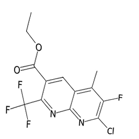 CCOC(=O)c1cc2c(C)c(F)c(Cl)nc2nc1C(F)(F)F